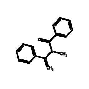 C=C(c1ccccc1)N(C)C(=O)c1ccccc1